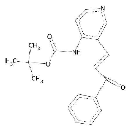 CC(C)(C)OC(=O)Nc1ccncc1/C=C/C(=O)c1ccccc1